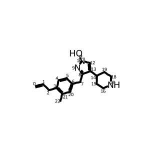 C=CCc1ccc(Cc2nn(O)cc2C2CCNCC2)cc1C